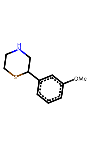 COc1cccc(C2CNCCS2)c1